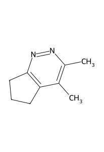 Cc1nnc2c(c1C)CCC2